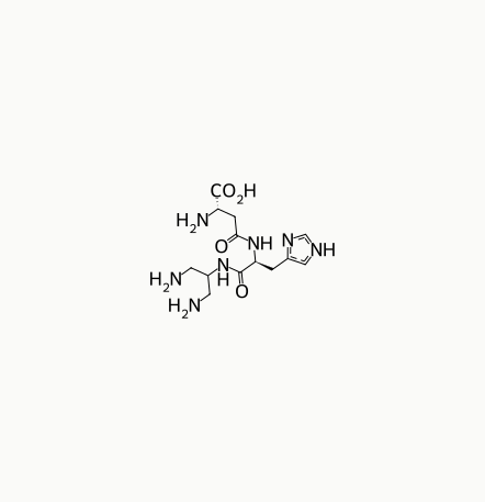 NCC(CN)NC(=O)[C@H](Cc1c[nH]cn1)NC(=O)C[C@H](N)C(=O)O